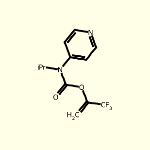 C=C(OC(=O)N(c1ccncc1)C(C)C)C(F)(F)F